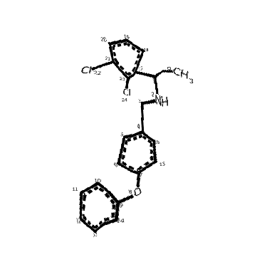 CC(NCc1ccc(Oc2ccccc2)cc1)c1cccc(Cl)c1Cl